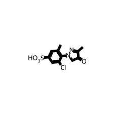 CC1=NN(c2c(C)cc(S(=O)(=O)O)cc2Cl)CC1=O